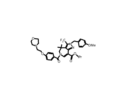 COc1ccc(Cn2nc3c(c2C(F)(F)F)C(C)(C)CN(C(=O)c2ccc(OCCN4CCOCC4)cc2)C=C3C(=O)OC(C)C)cc1